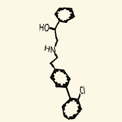 OC(CNCCc1ccc(-c2ccccc2Cl)cc1)c1ccccc1